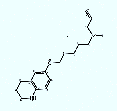 C=CCN(C)CCCCCOc1ccc2c(c1)CCCN2